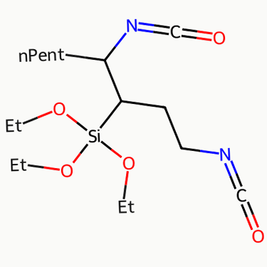 CCCCCC(N=C=O)C(CCN=C=O)[Si](OCC)(OCC)OCC